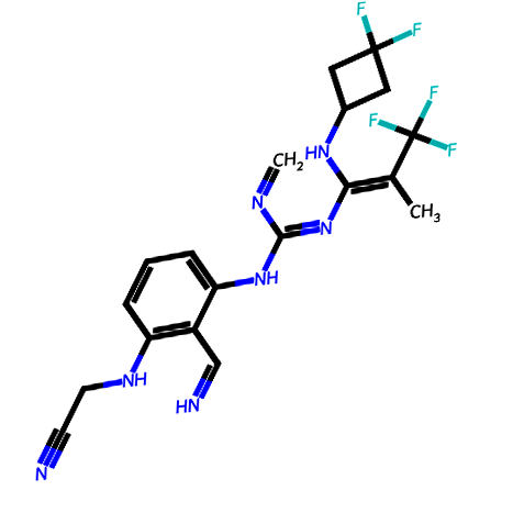 C=N/C(=N\C(NC1CC(F)(F)C1)=C(/C)C(F)(F)F)Nc1cccc(NCC#N)c1C=N